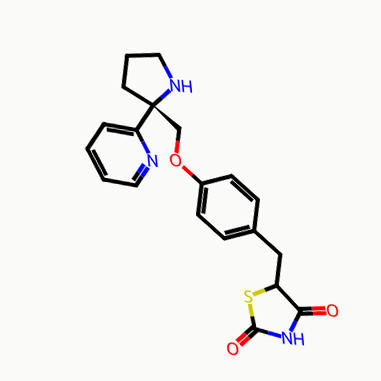 O=C1NC(=O)C(Cc2ccc(OC[C@@]3(c4ccccn4)CCCN3)cc2)S1